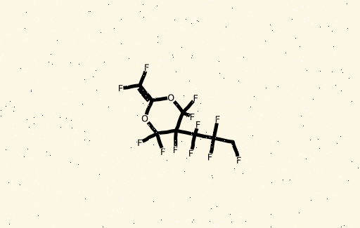 FCC(F)(F)C(F)(F)C1(F)C(F)(F)OC(=C(F)F)OC1(F)F